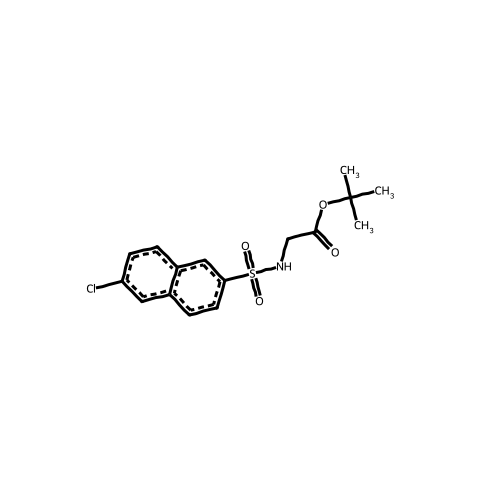 CC(C)(C)OC(=O)CNS(=O)(=O)c1ccc2cc(Cl)ccc2c1